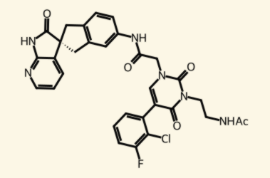 CC(=O)NCCn1c(=O)c(-c2cccc(F)c2Cl)cn(CC(=O)Nc2ccc3c(c2)C[C@@]2(C3)C(=O)Nc3ncccc32)c1=O